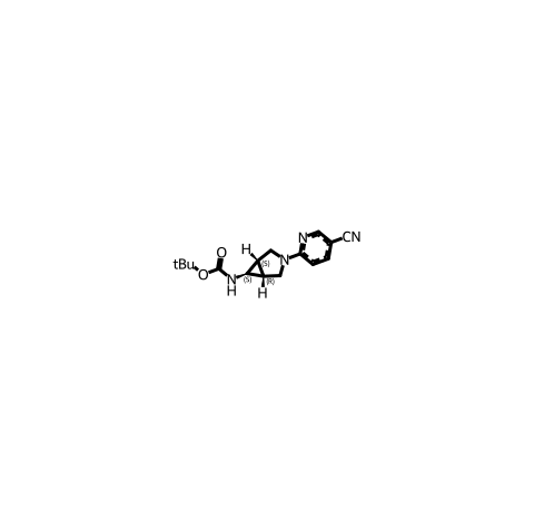 CC(C)(C)OC(=O)N[C@H]1[C@@H]2CN(c3ccc(C#N)cn3)C[C@@H]21